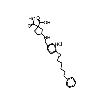 Cl.O=C(O)C1(C(=O)O)CCC(NCc2ccc(OCCCCSc3ccccc3)cc2)C1